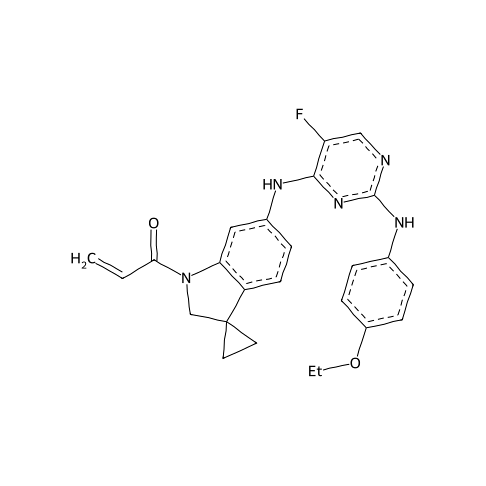 C=CC(=O)N1CC2(CC2)c2ccc(Nc3nc(Nc4ccc(OCC)cc4)ncc3F)cc21